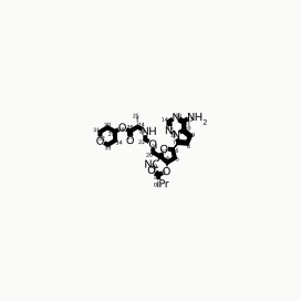 CC(C)C(=O)O[C@H]1C[C@H](c2ccc3c(N)ncnn23)O[C@]1(C#N)COCN[C@@H](C)C(=O)OC1CCOCC1